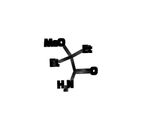 CCC(CC)(OC)C(N)=O